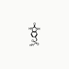 CCCS(=O)(=O)Cc1ccc2[nH]c(=O)[nH]c2c1